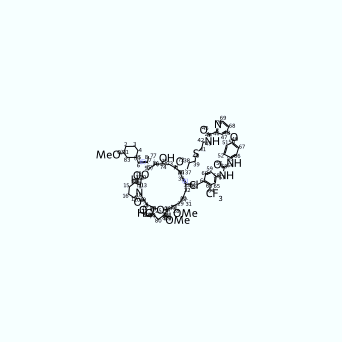 CO[C@H]1CCC[C@@H](/C=C(\C)[C@H]2OC(=O)[C@@H]3CCCCN3C(=O)C(=O)[C@]3(O)O[C@H]([C@@H](OC)C[C@@H](C)C/C(C)=C/[C@@H](CCCSCCNC(=O)c4cc(Oc5ccc(NC(=O)Nc6ccc(Cl)c(C(F)(F)F)c6)cc5)ccn4)C(=O)C[C@H](O)[C@H]2C)[C@@H](OC)C[C@H]3C)C1